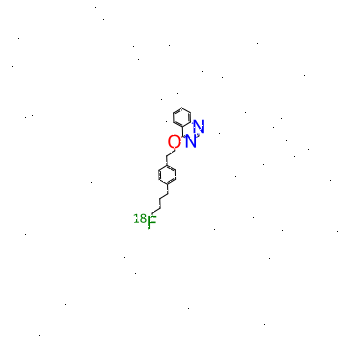 [18F]CCCCc1ccc(CCOc2ncnc3ccccc23)cc1